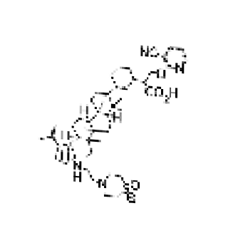 C=C(C)[C@@H]1CC[C@]2(NCCN3CCS(=O)(=O)CC3)CC[C@]3(C)[C@H](CC[C@@H]4[C@@]5(C)CC=C(C6=CC(C(COc7ncccc7C#N)C(=O)O)CCC6)C(C)(C)[C@@H]5CC[C@]43C)[C@@H]12